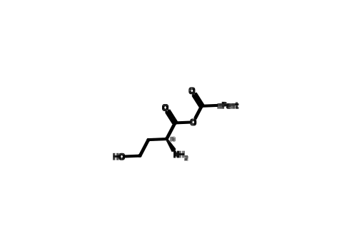 CCCCCC(=O)OC(=O)[C@@H](N)CCO